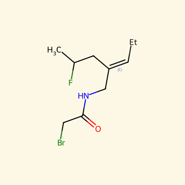 CC/C=C(/CNC(=O)CBr)CC(C)F